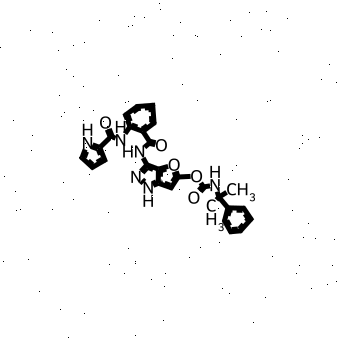 CC(C)(NC(=O)Oc1cc2[nH]nc(NC(=O)c3ccccc3NC(=O)c3ccc[nH]3)c2o1)c1ccccc1